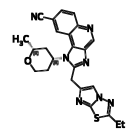 CCc1nn2cc(Cc3nc4cnc5ccc(C#N)cc5c4n3[C@@H]3CCO[C@H](C)C3)nc2s1